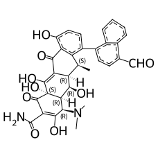 C[C@@H]1c2c(-c3ccc(C=O)c4ccccc34)ccc(O)c2C(=O)C2=C(O)[C@]3(O)C(=O)C(C(N)=O)=C(O)[C@H](N(C)C)[C@@H]3[C@H](O)[C@@H]21